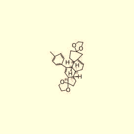 Cc1ccc(C2=C[C@@]3(C)[C@@H](CCC34OCCO4)[C@@H]3CC=C4CC5(CC[C@@H]4[C@@H]23)OCCO5)cc1